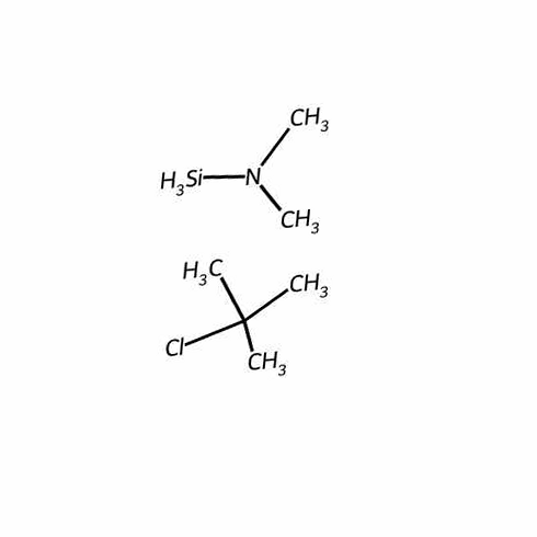 CC(C)(C)Cl.CN(C)[SiH3]